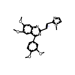 COc1ccc(-c2nc(/C=C/c3nccn3C)nc3cc(OC)c(OC)cc23)cc1OC